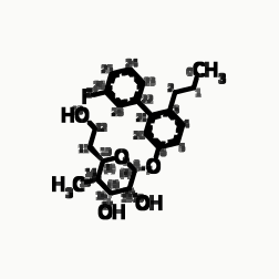 CCCc1ccc(O[C@H]2O[C@H](CCO)[C@H](C)[C@@H](O)[C@H]2O)cc1-c1cccc(F)c1